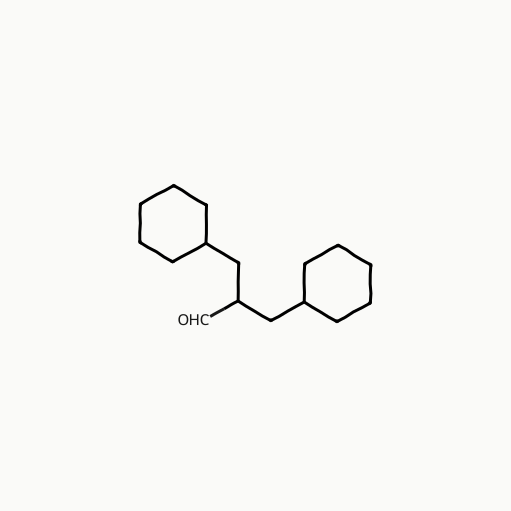 O=CC(CC1CCCCC1)CC1CCCCC1